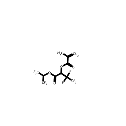 C=C(C)C(=O)OC(C(=O)OC(C(F)(F)F)C(F)(F)F)C(F)(F)C(F)(F)F